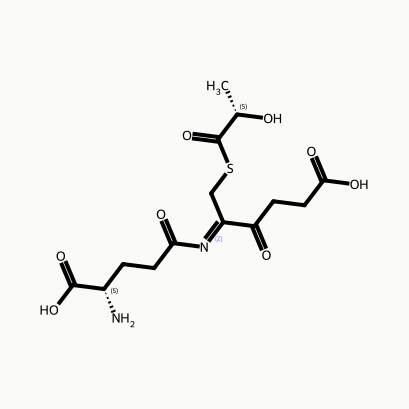 C[C@H](O)C(=O)SC/C(=N\C(=O)CC[C@H](N)C(=O)O)C(=O)CCC(=O)O